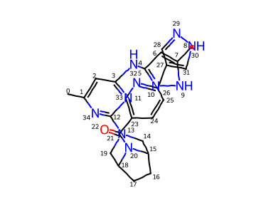 Cc1cc(Nc2cc(C)[nH]n2)nc(N2CC3CCC(C2)N3C(=O)c2ccc(-c3cn[nH]c3)nc2)n1